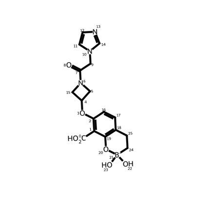 O=C(O)c1c(OC2CN(C(=O)Cn3ccnc3)C2)ccc2c1O[B-](O)(O)CC2